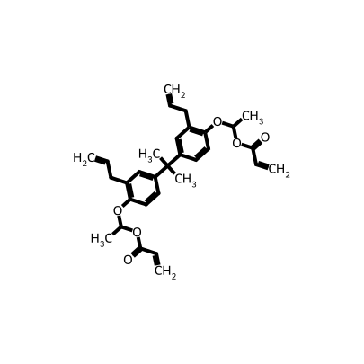 C=CCc1cc(C(C)(C)c2ccc(OC(C)OC(=O)C=C)c(CC=C)c2)ccc1OC(C)OC(=O)C=C